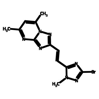 Cc1cc(C)n2nc(C=Cc3nc(Br)nn3C)nc2n1